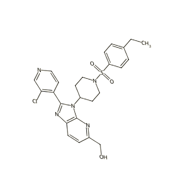 CCc1ccc(S(=O)(=O)N2CCC(n3c(-c4ccncc4Cl)nc4ccc(CO)nc43)CC2)cc1